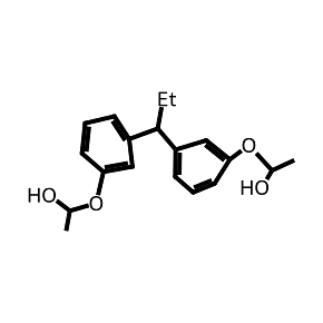 CCC(c1cccc(OC(C)O)c1)c1cccc(OC(C)O)c1